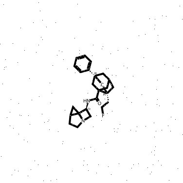 O=C(N[C@H]1CN2CCC3CC312)C12CC3C[C@](c4ccccc4)(C1)C[C@@]2(CCF)C3